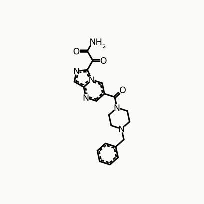 NC(=O)C(=O)c1ncc2ncc(C(=O)N3CCN(Cc4ccccc4)CC3)cn12